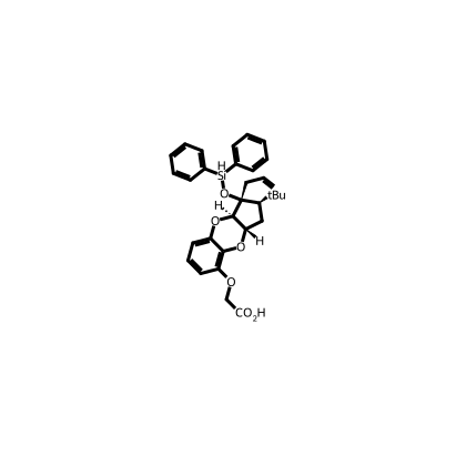 C=CC[C@]1(O[SiH](c2ccccc2)c2ccccc2)[C@@H]2Oc3cccc(OCC(=O)O)c3O[C@H]2C[C@@H]1C(C)(C)C